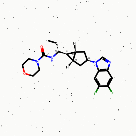 CC[C@@H](NC(=O)N1CCOCC1)[C@H]1[C@@H]2C[C@@H](n3cnc4cc(F)c(F)cc43)C[C@@H]21